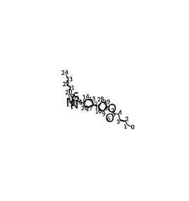 CCC=CCC(=O)Oc1ccc(-c2ccc(-c3nnc(CCCCC)s3)cc2)cc1